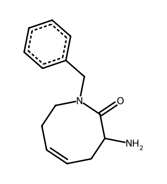 NC1CC=CCCN(Cc2ccccc2)C1=O